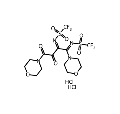 Cl.Cl.O=C(C(=O)N1CCOCC1)C(=NS(=O)(=O)C(F)(F)F)C(=NS(=O)(=O)C(F)(F)F)N1CCOCC1